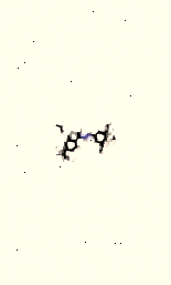 CCCOc1cc2c(cc1C(=O)/C=C/c1cc(OC)c(OC)c(OC)c1)OCS2(=O)=O